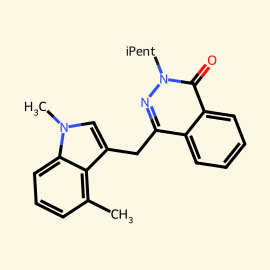 CCCC(C)n1nc(Cc2cn(C)c3cccc(C)c23)c2ccccc2c1=O